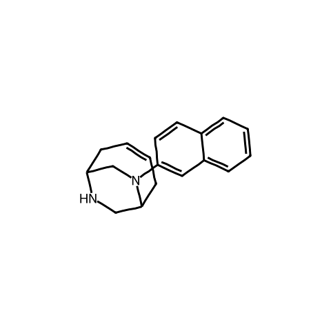 C1=C\CC2CNC(C/1)CN2c1ccc2ccccc2c1